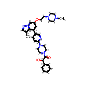 CN1CCN(CCOc2cc(-c3ccc(N4CCN(C(=O)[C@H](O)c5ccccc5)CC4)nc3)c3c(C#N)cnn3c2)CC1